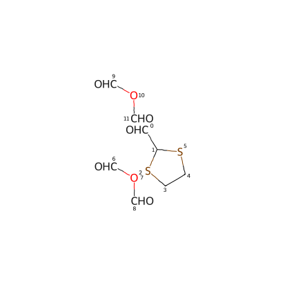 O=CC1SCCS1.O=COC=O.O=COC=O